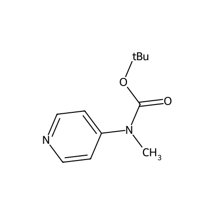 CN(C(=O)OC(C)(C)C)c1ccncc1